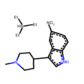 CC[SiH](CC)CC.CN1CCC(c2c[nH]c3ccc([N+](=O)[O-])cc23)CC1